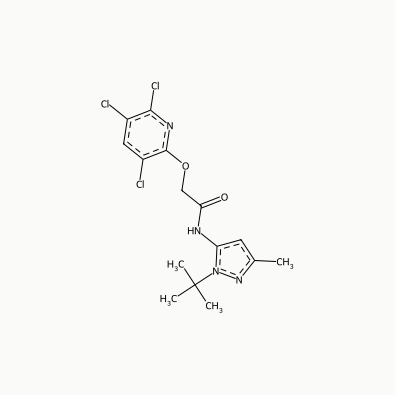 Cc1cc(NC(=O)COc2nc(Cl)c(Cl)cc2Cl)n(C(C)(C)C)n1